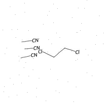 CC#N.CC#N.CC#N.ClCCCl